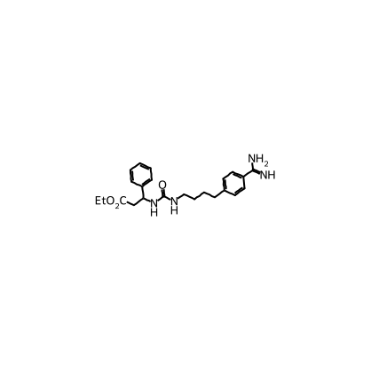 CCOC(=O)CC(NC(=O)NCCCCc1ccc(C(=N)N)cc1)c1ccccc1